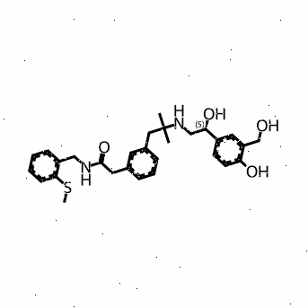 CSc1ccccc1CNC(=O)Cc1cccc(CC(C)(C)NC[C@@H](O)c2ccc(O)c(CO)c2)c1